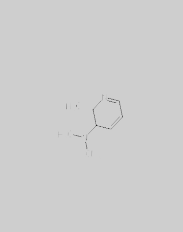 C[C@@H]1N=CC=CC1N(C)C